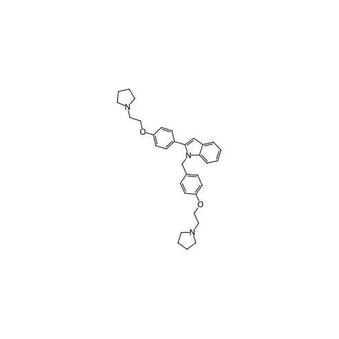 c1ccc2c(c1)cc(-c1ccc(OCCN3CCCC3)cc1)n2Cc1ccc(OCCN2CCCC2)cc1